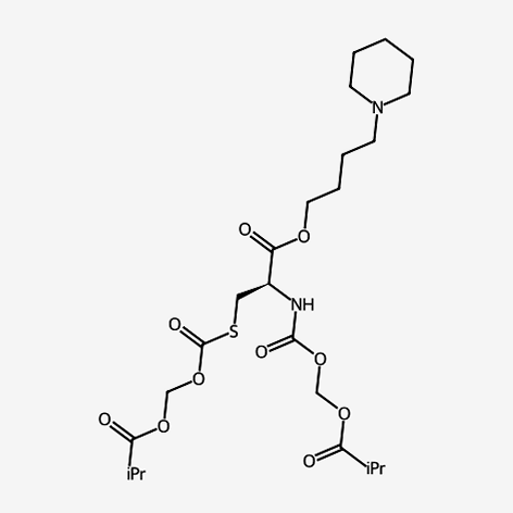 CC(C)C(=O)OCOC(=O)N[C@@H](CSC(=O)OCOC(=O)C(C)C)C(=O)OCCCCN1CCCCC1